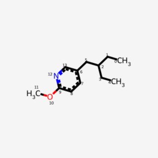 CCC(CC)Cc1ccc(OC)nc1